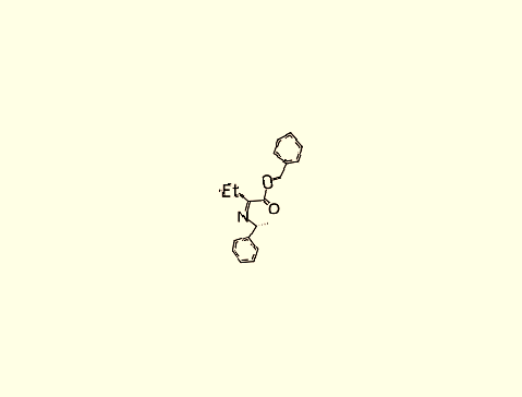 C[CH]C(=N[C@H](C)c1ccccc1)C(=O)OCc1ccccc1